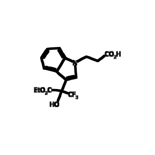 CCOC(=O)C(O)(c1cn(CCC(=O)O)c2ccccc12)C(F)(F)F